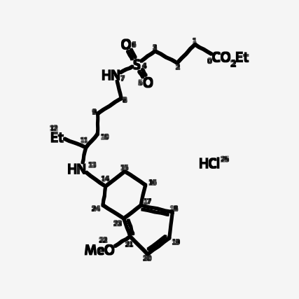 CCOC(=O)CCCS(=O)(=O)NCCCC(CC)NC1CCc2cccc(OC)c2C1.Cl